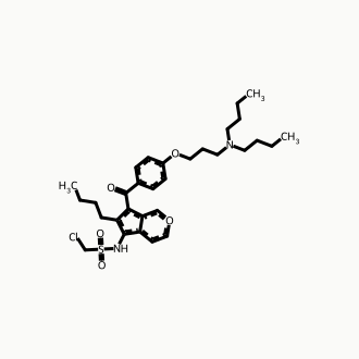 CCCCc1c(NS(=O)(=O)CCl)c2ccocc-2c1C(=O)c1ccc(OCCCN(CCCC)CCCC)cc1